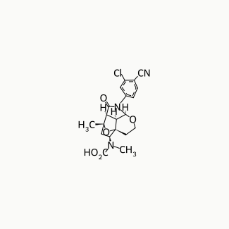 CN(C(=O)O)[C@H]1C[C@@]2(C)O[C@@]13CCO[C@H]1[C@@H]3[C@@H]2C(=O)N1c1ccc(C#N)c(Cl)c1